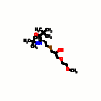 COCCOCC(O)CSCC[C@H](NC(C)(C)C)C(=O)C(C)(C)C